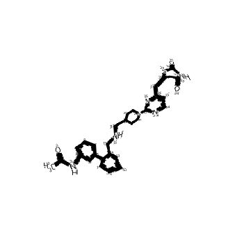 CC(=O)Nc1cccc(-c2ccccc2CNCC2CCN(c3nccc(C=C4SC(=O)NC4=O)n3)CC2)c1